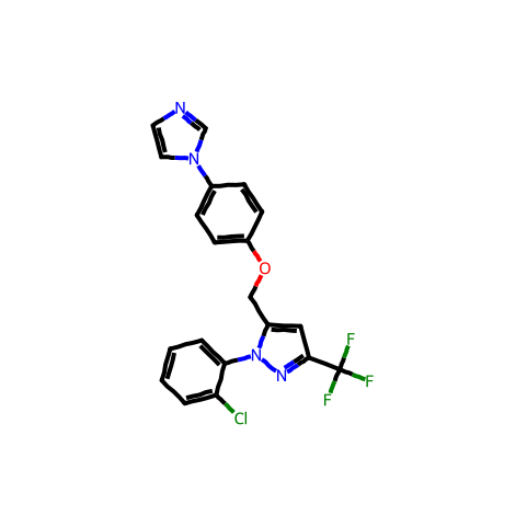 FC(F)(F)c1cc(COc2ccc(-n3ccnc3)cc2)n(-c2ccccc2Cl)n1